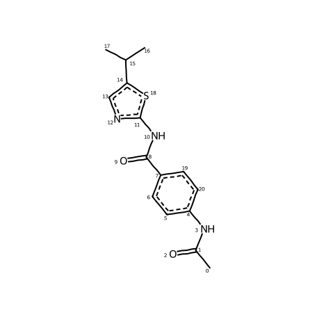 CC(=O)Nc1ccc(C(=O)Nc2ncc(C(C)C)s2)cc1